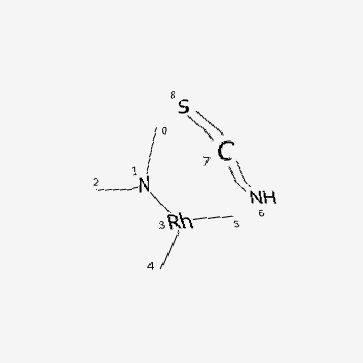 C[N](C)[Rh]([CH3])[CH3].N=C=S